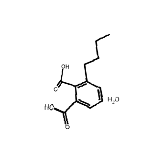 CCCCc1cccc(C(=O)O)c1C(=O)O.O